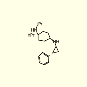 CCC[C@]1(NC(C)C)CC[C@@H](N[C@H]2C[C@@H]2c2ccccc2)CC1